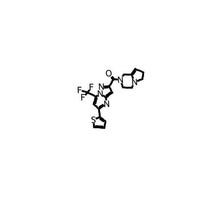 O=C(c1cc2nc(-c3cccs3)cc(C(F)(F)F)n2n1)N1CCN2CCC=C2C1